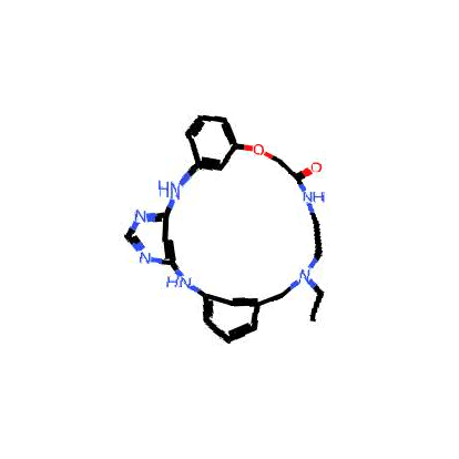 CCN1CCNC(=O)COc2cccc(c2)Nc2cc(ncn2)Nc2cccc(c2)C1